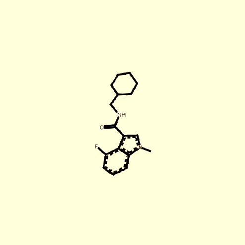 Cn1cc(C(=O)NCC2CCCCC2)c2c(F)cccc21